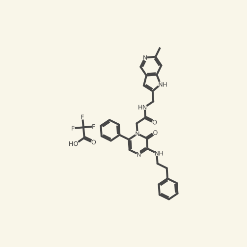 Cc1cc2[nH]c(CNC(=O)Cn3c(-c4ccccc4)cnc(NCCc4ccccc4)c3=O)cc2cn1.O=C(O)C(F)(F)F